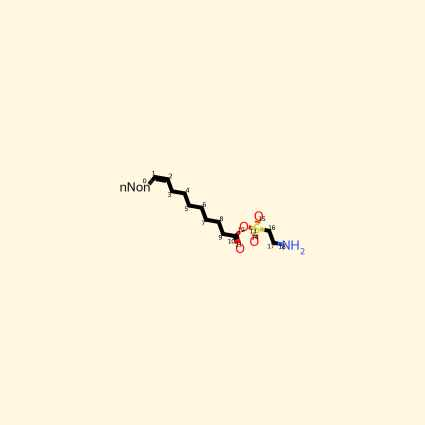 CCCCCCCCC/C=C\CCCCCCCC(=O)OS(=O)(=O)CCN